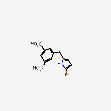 O=C(O)c1cc(Cc2ccc(Br)[nH]2)cc(C(=O)O)c1